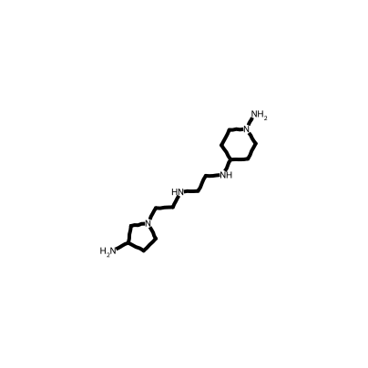 NC1CCN(CCNCCNC2CCN(N)CC2)C1